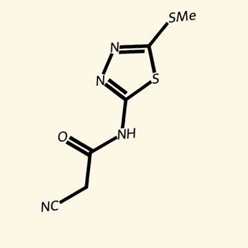 CSc1nnc(NC(=O)CC#N)s1